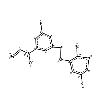 N=C[SH2+]([O-])c1cc(F)cc(COc2cc(F)cnc2Br)c1